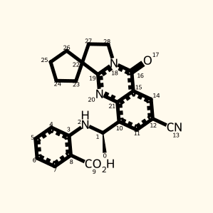 C[C@@H](Nc1ccccc1C(=O)O)c1cc(C#N)cc2c(=O)n3c(nc12)C1(CCCC1)CC3